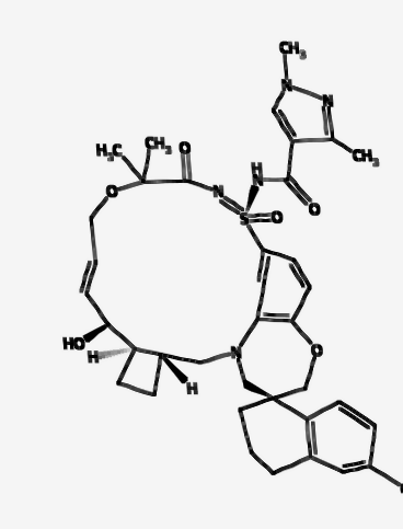 Cc1nn(C)cc1C(=O)N[S@]1(=O)=NC(=O)C(C)(C)OC/C=C/[C@H](O)[C@@H]2CC[C@H]2CN2C[C@@]3(CCCc4cc(Cl)ccc43)COc3ccc1cc32